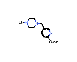 CCN1CCN(Cc2ccc(OC)nc2)CC1